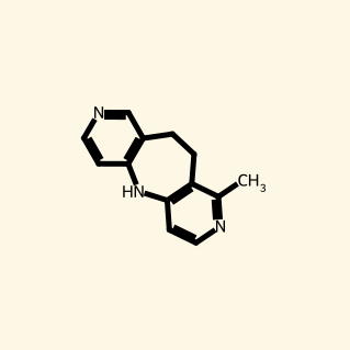 Cc1nccc2c1CCc1cnccc1N2